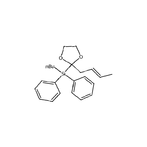 CC=CCC1([Si](CCCC)(c2ccccc2)c2ccccc2)OCCO1